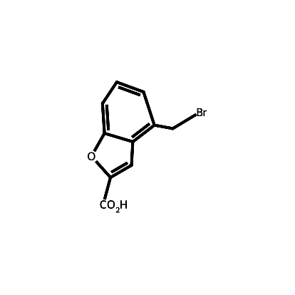 O=C(O)c1cc2c(CBr)cccc2o1